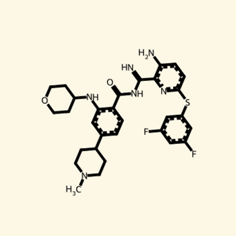 CN1CCC(c2ccc(C(=O)NC(=N)c3nc(Sc4cc(F)cc(F)c4)ccc3N)c(NC3CCOCC3)c2)CC1